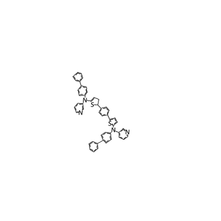 C1=C(N(c2ccc(-c3ccccc3)cc2)c2cccnc2)SC(c2ccc(-c3ccc(N(c4ccc(-c5ccccc5)cc4)c4cccnc4)s3)cc2)C1